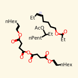 CC/C=C\CCCCOC(=O)CC.CCCCCC(CC)OC(C)=O.CCCCCCC=COC(=O)CCC(=O)OC(=O)CCC(=O)OC=CCCCCCC